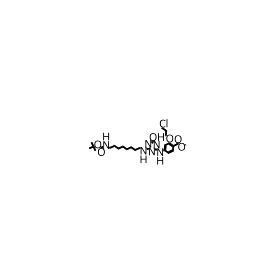 COC(=O)c1ccc(Nc2nc(O)nc(NCCCCCCCCNC(=O)OC(C)(C)C)n2)cc1OCCCCl